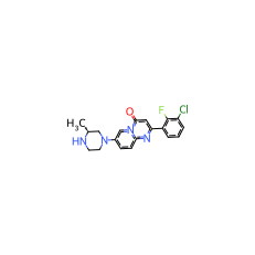 C[C@H]1CN(c2ccc3nc(-c4cccc(Cl)c4F)cc(=O)n3c2)CCN1